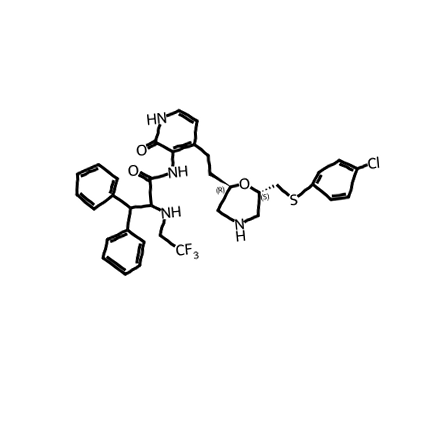 O=C(Nc1c(CC[C@@H]2CNC[C@@H](CSc3ccc(Cl)cc3)O2)cc[nH]c1=O)C(NCC(F)(F)F)C(c1ccccc1)c1ccccc1